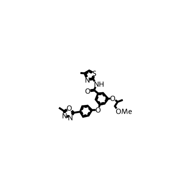 COCC(C)Oc1cc(Oc2ccc(-c3nnc(C)o3)cc2)cc(C(=O)Nc2nc(C)cs2)c1